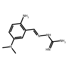 CN(C)c1ccc(N)c(/C=N/NC(=N)N)c1